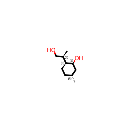 C[C@@H]1CC[C@@H]([C@H](C)CO)[C@@H](O)C1